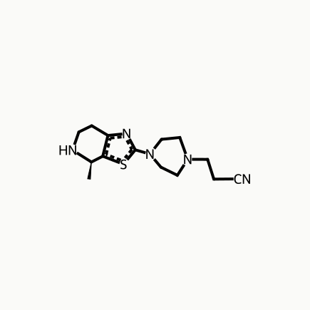 C[C@H]1NCCc2nc(N3CCN(CCC#N)CC3)sc21